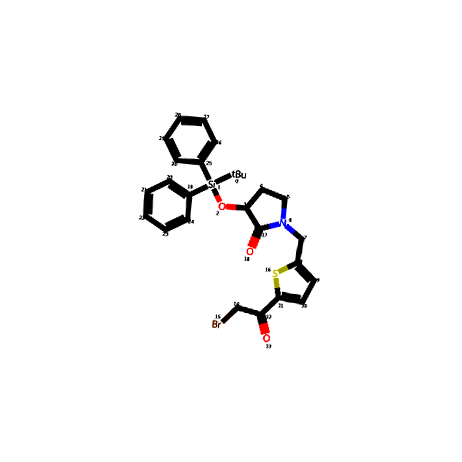 CC(C)(C)[Si](OC1CCN(Cc2ccc(C(=O)CBr)s2)C1=O)(c1ccccc1)c1ccccc1